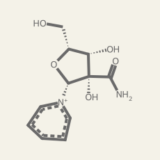 NC(=O)[C@]1(O)[C@@H](O)[C@@H](CO)O[C@H]1[n+]1ccccc1